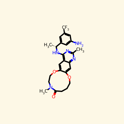 Cc1nc(N[C@H](C)c2cc(N)cc(C(F)(F)F)c2)c2cc3c(cc2n1)OCCCC(=O)N(C)CCO3